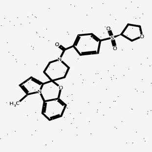 Cc1ccc2n1-c1ccccc1OC21CCN(C(=O)c2ccc(S(=O)(=O)[C@H]3CCOC3)cc2)CC1